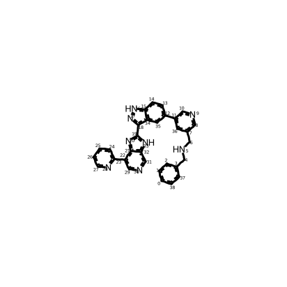 c1ccc(CNCc2cncc(-c3ccc4[nH]nc(-c5nc6c(-c7ccccn7)cncc6[nH]5)c4c3)c2)cc1